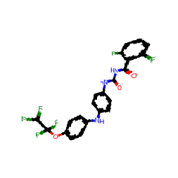 O=C(NC(=O)c1c(F)cccc1F)Nc1ccc(Nc2ccc(OC(F)(F)C(F)F)cc2)cc1